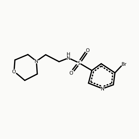 O=S(=O)(NCCN1CCOCC1)c1cncc(Br)c1